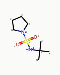 CC(C)(C)NS(=O)(=O)N1CCCC1